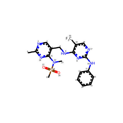 Cc1ncc(CNc2nc(Nc3ccccc3)ncc2C(F)(F)F)c(N(C)S(C)(=O)=O)n1